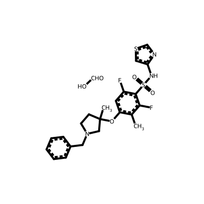 Cc1c(OC2(C)CCN(Cc3ccccc3)C2)cc(F)c(S(=O)(=O)Nc2cscn2)c1F.O=CO